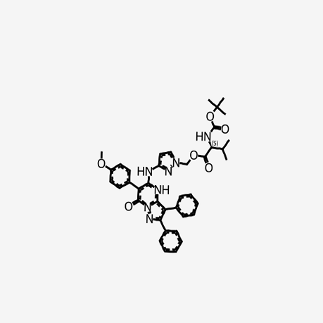 COc1ccc(-c2c(Nc3ccn(COC(=O)[C@@H](NC(=O)OC(C)(C)C)C(C)C)n3)[nH]c3c(-c4ccccc4)c(-c4ccccc4)nn3c2=O)cc1